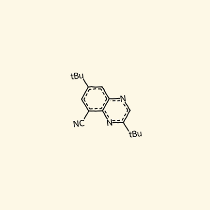 CC(C)(C)c1cc(C#N)c2nc(C(C)(C)C)cnc2c1